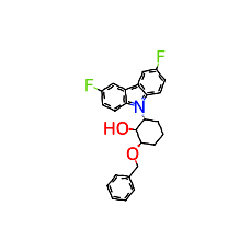 O[C@H]1[C@H](n2c3ccc(F)cc3c3cc(F)ccc32)CCC[C@H]1OCc1ccccc1